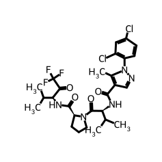 Cc1c(C(=O)N[C@H](C(=O)N2CCC[C@H]2C(=O)N[C@H](C(=O)C(F)(F)F)C(C)C)C(C)C)cnn1-c1ccc(Cl)cc1Cl